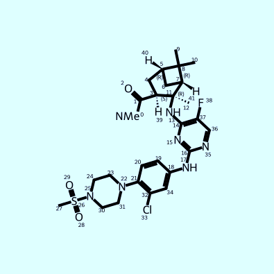 CNC(=O)[C@H]1C[C@H]2C[C@H](C2(C)C)[C@@]1(C)Nc1nc(Nc2ccc(N3CCN(S(C)(=O)=O)CC3)c(Cl)c2)ncc1F